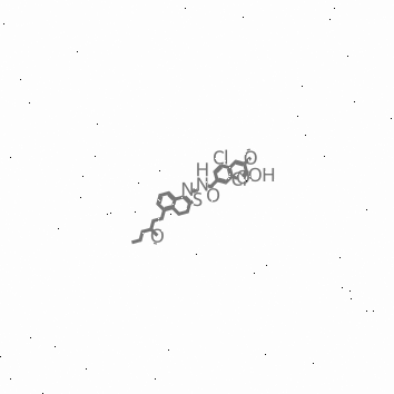 CCCC(CCc1cccc2c1CCc1sc(NC(=O)c3cc(Cl)c(/C=C(/OC)C(=O)O)c(Cl)c3)nc1-2)OC